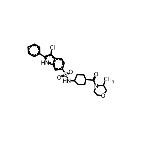 CC1COCCN1C(=O)C1CCC(NS(=O)(=O)c2ccc3c(Cl)c(-c4ccccc4)[nH]c3c2)CC1